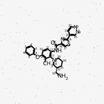 Cc1c(Oc2ccccc2)ccc(NC(=O)c2csc(-c3ccnnc3)n2)c1N1CCC[C@@H](CN)C1